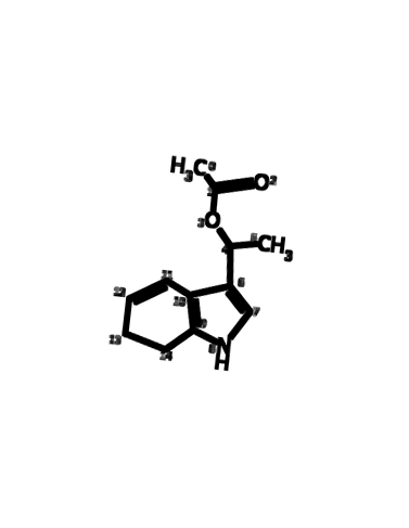 CC(=O)OC(C)c1c[nH]c2c1C=CCC2